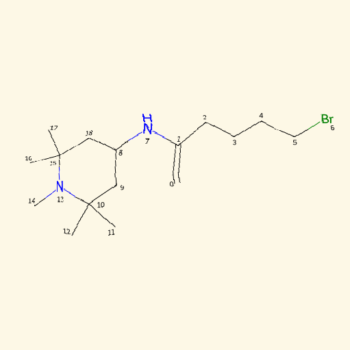 C=C(CCCCBr)NC1CC(C)(C)N(C)C(C)(C)C1